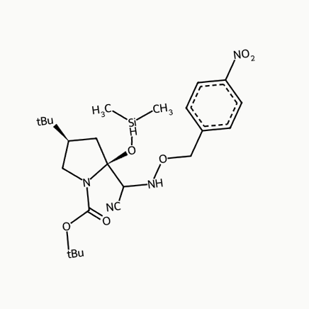 C[SiH](C)O[C@]1(C(C#N)NOCc2ccc([N+](=O)[O-])cc2)C[C@H](C(C)(C)C)CN1C(=O)OC(C)(C)C